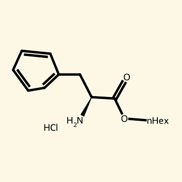 CCCCCCOC(=O)[C@@H](N)Cc1ccccc1.Cl